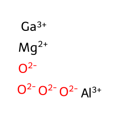 [Al+3].[Ga+3].[Mg+2].[O-2].[O-2].[O-2].[O-2]